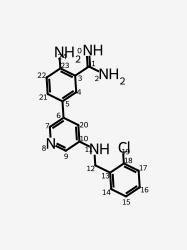 N=C(N)c1cc(-c2cncc(NCc3ccccc3Cl)c2)ccc1N